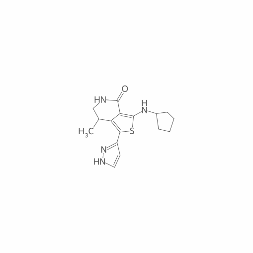 CC1CNC(=O)c2c(NC3CCCC3)sc(-c3cc[nH]n3)c21